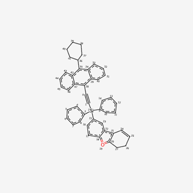 C(#C[Si](c1ccccc1)(c1ccccc1)c1ccc2oc3c(c2c1)C=CCC3)c1c2ccccc2c(C2CCCCC2)c2ccccc12